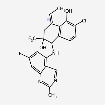 C/C=C1/CC(O)(C(F)(F)F)C(Nc2cc(F)cc3nc(C)ncc23)c2ccc(Cl)c(O)c21